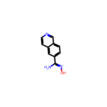 N/C(=N\O)c1ccc2cnccc2c1